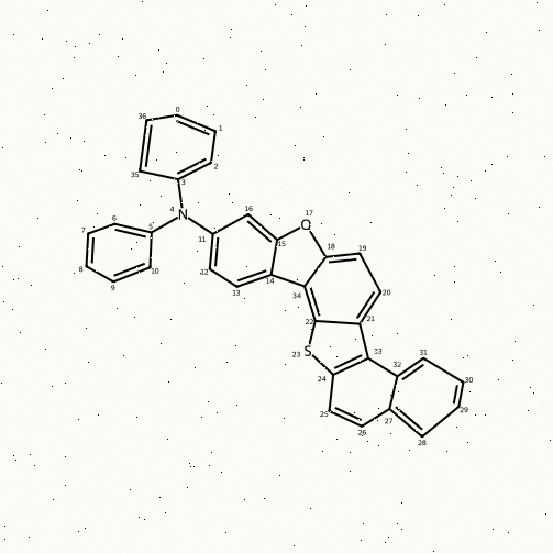 c1ccc(N(c2ccccc2)c2ccc3c(c2)oc2ccc4c(sc5ccc6ccccc6c54)c23)cc1